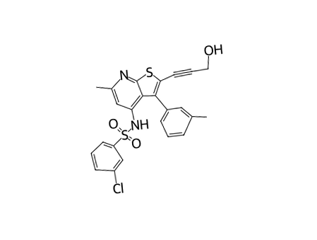 Cc1cccc(-c2c(C#CCO)sc3nc(C)cc(NS(=O)(=O)c4cccc(Cl)c4)c23)c1